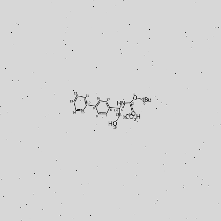 CC(C)(C)OC(=O)N[C@@H](c1ccc(-c2ccccc2)cc1)[C@@H](O)C(=O)O